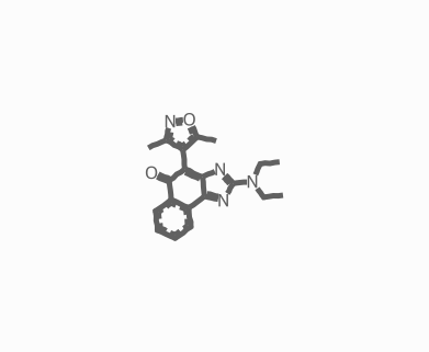 CCN(CC)C1=NC2=C(c3c(C)noc3C)C(=O)c3ccccc3C2=N1